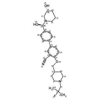 CC(C)(F)CN1CCC(COc2ccc(-c3ccc([C@@H](O)N4CCC[C@@H](O)C4)cc3)cc2C#N)CC1